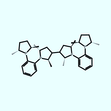 C[C@@H]1CC[C@@H](C)P1c1ccccc1P1[C@H](C)CC(C2C[C@@H](C)P(c3ccccc3P3[C@@H](C)CC[C@@H]3C)[C@@H]2C)[C@H]1C